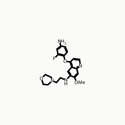 COc1cc2nccc(Oc3ccc(N)cc3F)c2cc1NCCN1CCOCC1